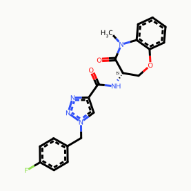 CN1C(=O)[C@@H](NC(=O)c2cn(Cc3ccc(F)cc3)nn2)COc2ccccc21